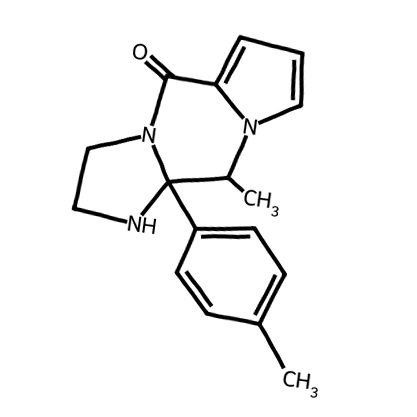 Cc1ccc(C23NCCN2C(=O)c2cccn2C3C)cc1